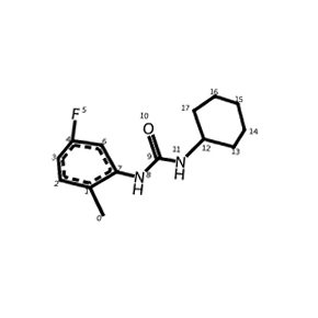 Cc1ccc(F)cc1NC(=O)NC1CCCCC1